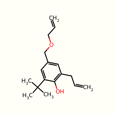 C=CCOCc1cc(CC=C)c(O)c(C(C)(C)C)c1